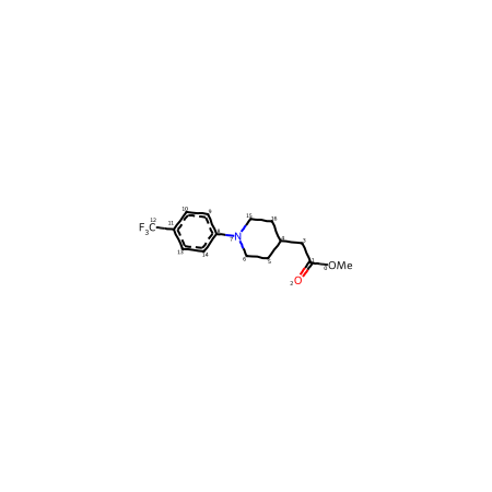 COC(=O)CC1CCN(c2ccc(C(F)(F)F)cc2)CC1